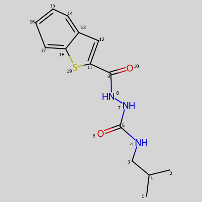 CC(C)CNC(=O)NNC(=O)c1cc2ccccc2s1